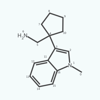 Cn1cc(C2(CN)CCCC2)c2ccccc21